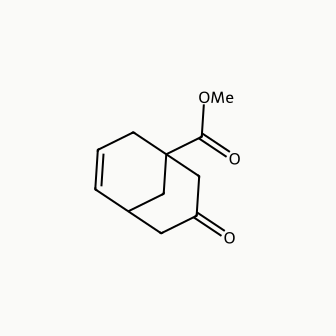 COC(=O)C12CC=CC(CC(=O)C1)C2